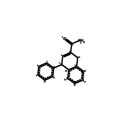 NC(=O)C1=CN(c2ccccc2)c2ncncc2C1